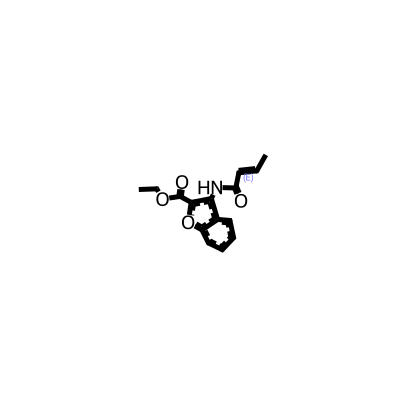 C/C=C/C(=O)Nc1c(C(=O)OCC)oc2ccccc12